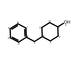 OC1CCC(Cc2cc[c]cc2)CC1